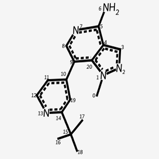 Cn1ncc2c(N)ncc(-c3ccnc(C(C)(C)C)c3)c21